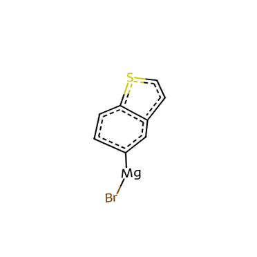 [Br][Mg][c]1ccc2sccc2c1